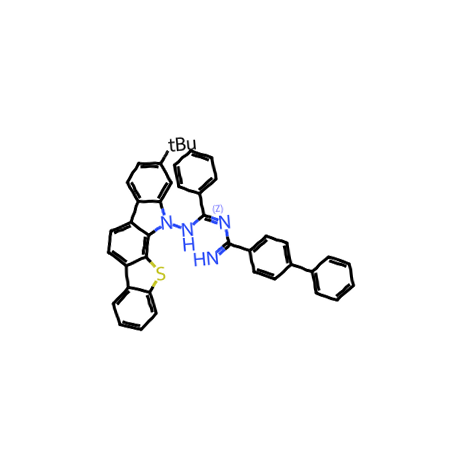 CC(C)(C)c1ccc2c3ccc4c5ccccc5sc4c3n(N/C(=N\C(=N)c3ccc(-c4ccccc4)cc3)c3ccccc3)c2c1